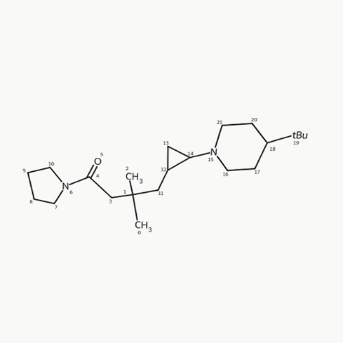 CC(C)(CC(=O)N1CCCC1)CC1CC1N1CCC(C(C)(C)C)CC1